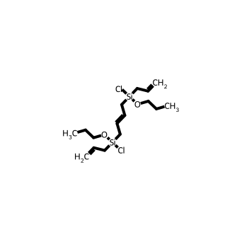 C=CC[Si](Cl)(C/C=C/C[Si](Cl)(CC=C)OCCC)OCCC